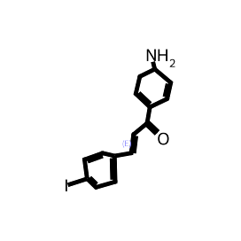 NC1C=CC(C(=O)/C=C/c2ccc(I)cc2)=CC1